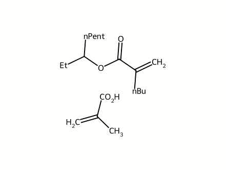 C=C(C)C(=O)O.C=C(CCCC)C(=O)OC(CC)CCCCC